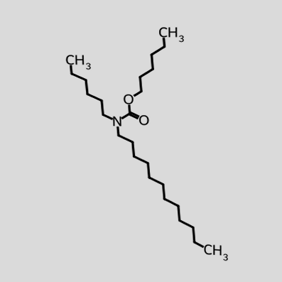 CCCCCCCCCCCCN(CCCCCC)C(=O)OCCCCCC